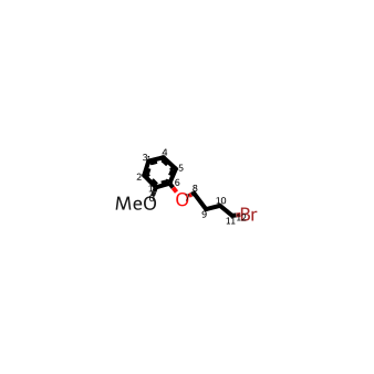 COc1c[c]ccc1OCCCCBr